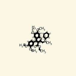 CCOC(=O)c1c(CN(C)C2CCCCC2)nc2cc(OC)c(OC)cc2c1-c1ccc(OC)c(OC)c1